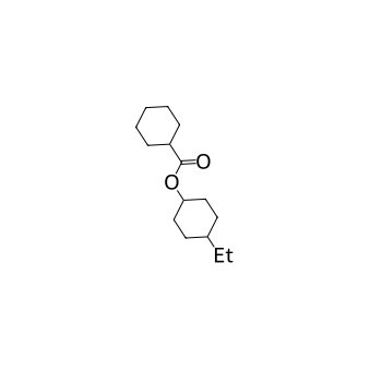 CCC1CCC(OC(=O)C2CCCCC2)CC1